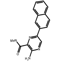 CNC(=O)c1nc(-c2ccc3ccccc3c2)cnc1N